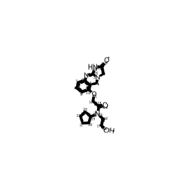 O=C1CN2Cc3c(cccc3OCC(=O)N(CCO)C3CCCC3)N=C2N1